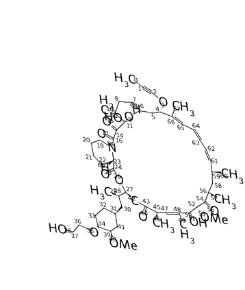 CC#CO[C@H]1C[C@@H]2CC[C@@H](C)[C@@](O)(O2)C(=O)C(=O)N2CCCC[C@H]2C(=O)O[C@H]([C@H](C)C[C@@H]2CC[C@H](OCCO)[C@H](OC)C2)CC(=O)[C@H](C)/C=C(\C)[C@@H](O)[C@@H](OC)C(=O)[C@H](C)C[C@H](C)/C=C/C=C/C=C/1C